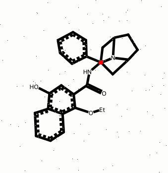 CCOc1c(C(=O)NC2CC3CCC(C2)N3Cc2ccccc2)cc(O)c2ccccc12